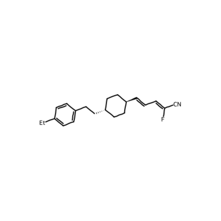 CCc1ccc(CC[C@H]2CC[C@H](/C=C/C=C(\F)C#N)CC2)cc1